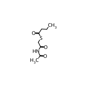 CCCC(=O)SCC(=O)NC(C)=O